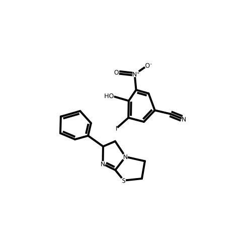 N#Cc1cc(I)c(O)c([N+](=O)[O-])c1.c1ccc(C2CN3CCSC3=N2)cc1